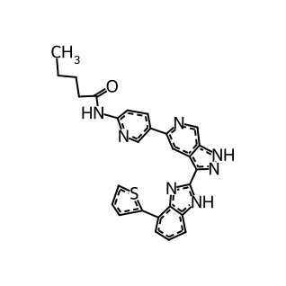 CCCCC(=O)Nc1ccc(-c2cc3c(-c4nc5c(-c6cccs6)cccc5[nH]4)n[nH]c3cn2)cn1